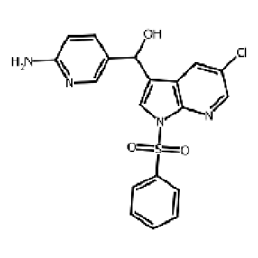 Nc1ccc(C(O)c2cn(S(=O)(=O)c3ccccc3)c3ncc(Cl)cc23)cn1